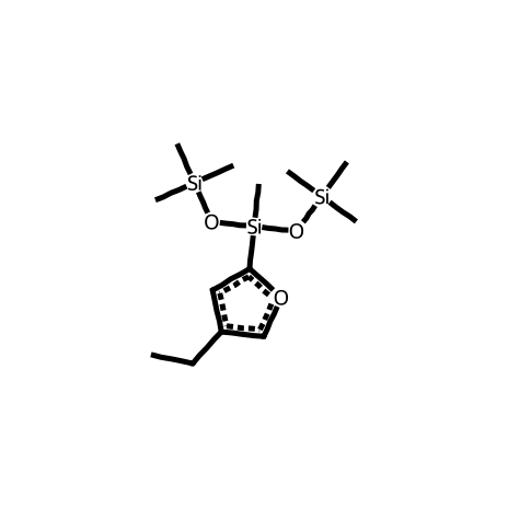 CCc1coc([Si](C)(O[Si](C)(C)C)O[Si](C)(C)C)c1